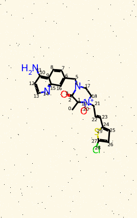 CC1C(=O)N(Cc2ccc3c(N)ccnc3c2)CC[N+]1([O-])C/C=C/c1ccc(Cl)s1